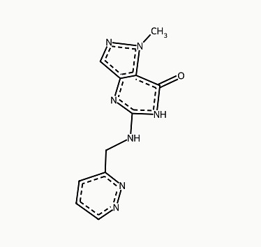 Cn1ncc2nc(NCc3cccnn3)[nH]c(=O)c21